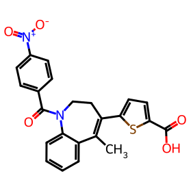 CC1=C(c2ccc(C(=O)O)s2)CCN(C(=O)c2ccc([N+](=O)[O-])cc2)c2ccccc21